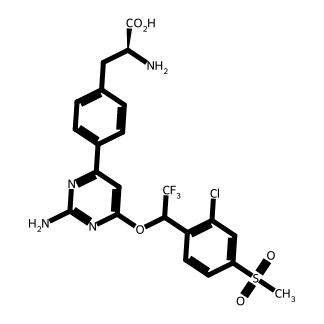 CS(=O)(=O)c1ccc(C(Oc2cc(-c3ccc(C[C@H](N)C(=O)O)cc3)nc(N)n2)C(F)(F)F)c(Cl)c1